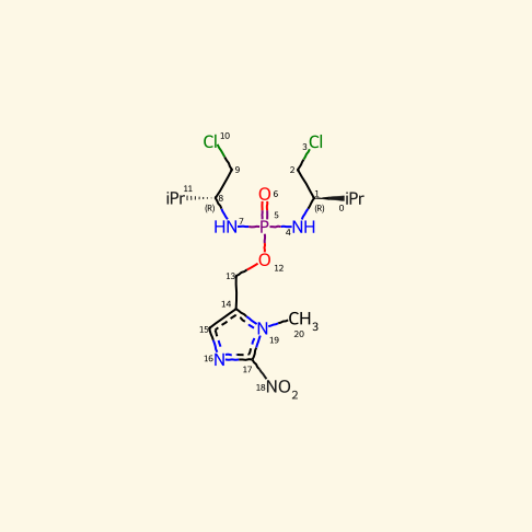 CC(C)[C@H](CCl)NP(=O)(N[C@@H](CCl)C(C)C)OCc1cnc([N+](=O)[O-])n1C